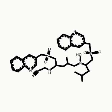 CC(C)CC(CS(=O)(=O)Cc1cnc2ccccc2c1)N(O)CC(C)CC(CS(=O)(=O)Cc1cnc2ccccc2c1)NCC#N